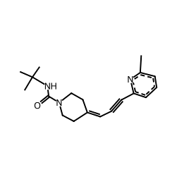 Cc1cccc(C#CC=C2CCN(C(=O)NC(C)(C)C)CC2)n1